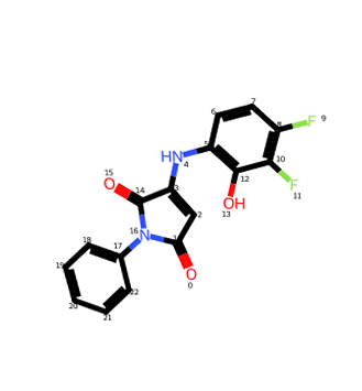 O=C1C=C(Nc2ccc(F)c(F)c2O)C(=O)N1c1ccccc1